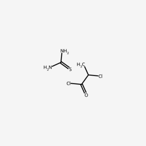 CC(Cl)C(=O)Cl.NC(N)=S